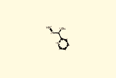 CC(C)(C)[C@H](N=N)c1ccccn1